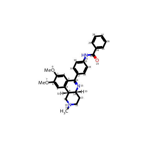 COc1cc2c(cc1OC)[C@H]1CN(C)CC[C@H]1N=C2c1ccc(NC(=O)c2ccccc2)cc1